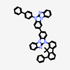 CC1(C)c2c(-c3ccccc3)cccc2-c2cccc(-n3c4ccc(-c5ccc6c(c5)n5c7ccccc7nc5n6-c5ccc(-c6ccccc6)cc5)cc4n4c5ccccc5nc34)c21